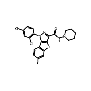 Cc1ccc2c(c1)oc1c(C(=O)NN3CCCCC3)nn(-c3ccc(Cl)cc3Cl)c12